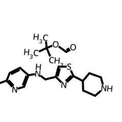 CC(C)(C)OC=O.Fc1ccc(NCc2csc(C3CCNCC3)n2)cn1